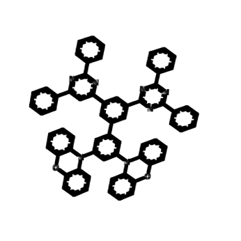 c1ccc(-c2cc(-c3cc(-c4cc(N5c6ccccc6Oc6ccccc65)cc(N5c6ccccc6Oc6ccccc65)c4)cc(-c4nc(-c5ccccc5)nc(-c5ccccc5)n4)c3)nc(-c3ccccc3)n2)cc1